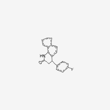 O=C1CC(c2ccc(F)cc2)c2ccc3ccccc3c2N1